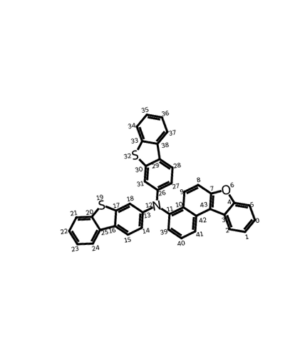 c1ccc2c(c1)oc1ccc3c(N(c4ccc5c(c4)sc4ccccc45)c4ccc5c(c4)sc4ccccc45)cccc3c12